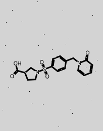 O=C(O)C1CCN(S(=O)(=O)c2ccc(Cn3ccccc3=O)cc2)C1